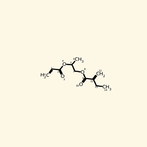 C=CC(=O)OC(C)COC(=O)C(=C)CC